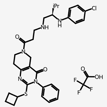 CC(C)[C@H](CNCCC(=O)N1CCc2nc(SC3CCC3)n(-c3ccccc3)c(=O)c2C1)Nc1ccc(Cl)cc1.O=C(O)C(F)(F)F